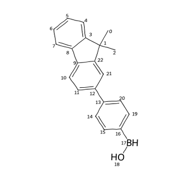 CC1(C)c2ccccc2-c2ccc(-c3ccc(BO)cc3)cc21